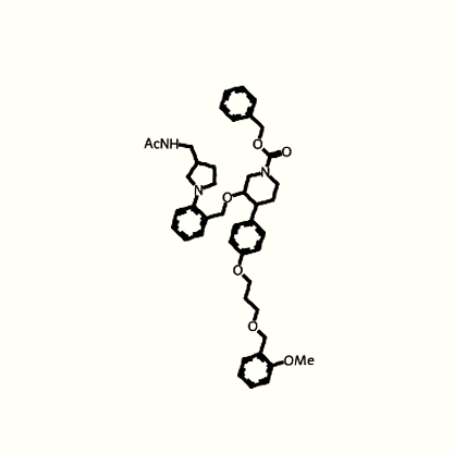 COc1ccccc1COCCCOc1ccc(C2CCN(C(=O)OCc3ccccc3)CC2OCc2ccccc2N2CCC(CNC(C)=O)C2)cc1